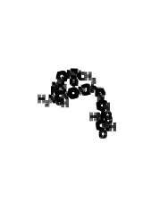 CN1CCN([C@@H]2CCCN(c3nnc(C(N)=O)c(Nc4ccc(N5CCN(C[C@H]6CCN(c7ccc(C(=O)N[C@H]8CCC(=O)NC8=O)nc7)C6)CC5)c(F)c4)n3)C2)C1=O